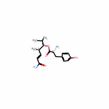 CC(C)[C@@H](OC(=O)[C@H](N)Cc1ccc(O)cc1)[C@H](C)/C=C/C(N)=O